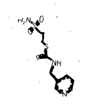 NS(=O)(=O)CCSC(=S)NCc1cccnc1